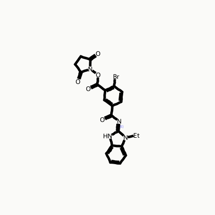 CCn1/c(=N/C(=O)c2ccc(Br)c(C(=O)ON3C(=O)CCC3=O)c2)[nH]c2ccccc21